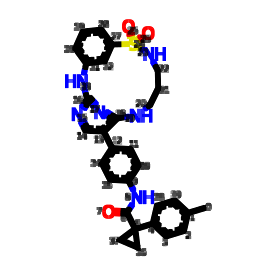 Cc1ccc(C2(C(=O)Nc3ccc(-c4cnc5nc4NCCCNS(=O)(=O)c4cccc(c4)N5)cc3)CC2)cc1